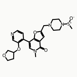 Cn1cc(-c2ccncc2OC2CCOC2)c2oc(CN3CCN([S+](C)[O-])CC3)cc2c1=O